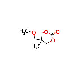 COCC1(C)COC(=O)OC1